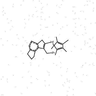 CC1=C(C)[C](C)([Hf][C]2=C(CC(C)C)c3c(ccc4c3CCC4)C2)C(C)=C1C